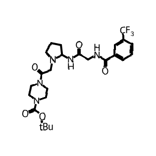 CC(C)(C)OC(=O)N1CCN(C(=O)CN2CCCC2NC(=O)CNC(=O)c2cccc(C(F)(F)F)c2)CC1